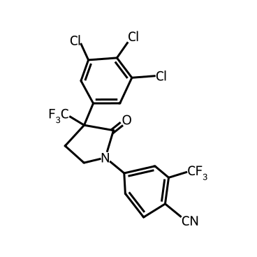 N#Cc1ccc(N2CCC(c3cc(Cl)c(Cl)c(Cl)c3)(C(F)(F)F)C2=O)cc1C(F)(F)F